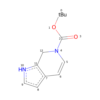 CC(C)(C)OC(=O)N1C=Cc2cc[nH]c2C1